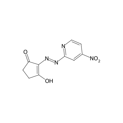 O=C1CCC(O)=C1N=Nc1cc([N+](=O)[O-])ccn1